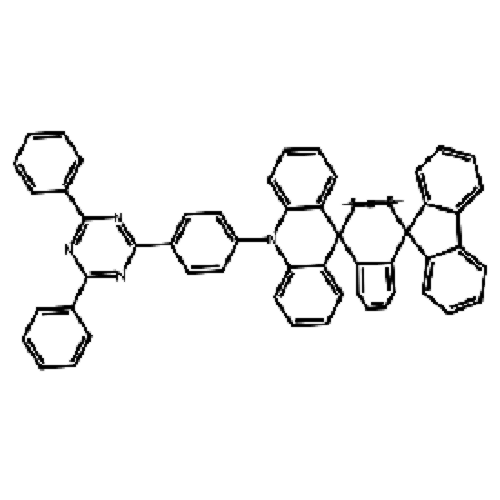 c1ccc(-c2nc(-c3ccccc3)nc(-c3ccc(N4c5ccccc5C5(c6ccccc64)c4ccccc4C4(c6ccccc6-c6ccccc64)c4ccccc45)cc3)n2)cc1